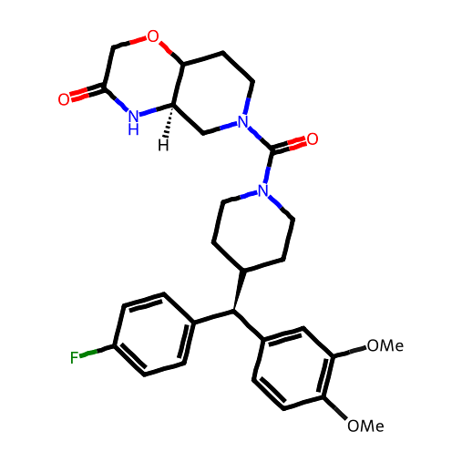 COc1ccc([C@@H](c2ccc(F)cc2)C2CCN(C(=O)N3CCC4OCC(=O)N[C@@H]4C3)CC2)cc1OC